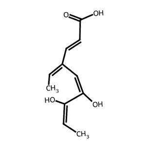 C/C=C(/C=C/C(=O)O)\C=C(O)/C(O)=C\C